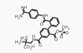 CC(C)(CNC(=O)c1ccc(-c2ccccc2C(=O)Nc2ccc(C(=N)N)cc2)c(C(=O)OS(C)(=O)=O)c1)C(=O)O